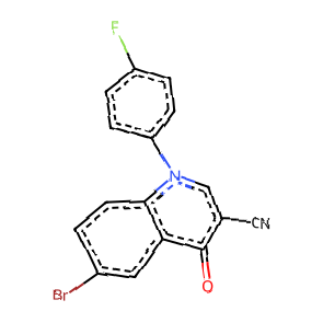 N#Cc1cn(-c2ccc(F)cc2)c2ccc(Br)cc2c1=O